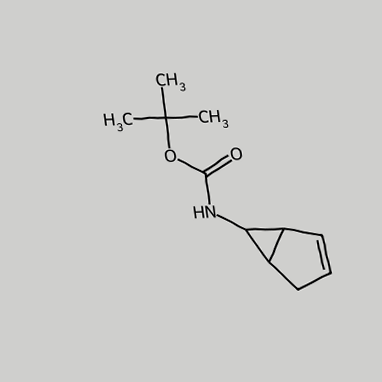 CC(C)(C)OC(=O)NC1C2C=CCC21